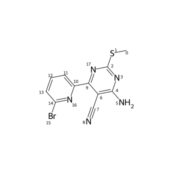 CSc1nc(N)c(C#N)c(-c2cccc(Br)n2)n1